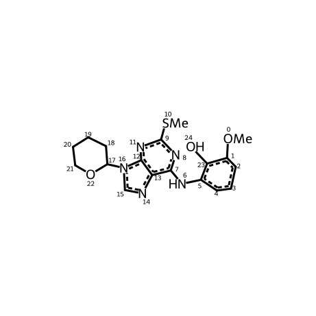 COc1cccc(Nc2nc(SC)nc3c2ncn3C2CCCCO2)c1O